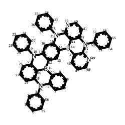 c1ccc(N2c3ccccc3B3c4cc5c(cc4N(c4ccccc4)c4cccc2c43)N(c2ccccc2)c2nccc3c2B5c2cccnc2N3c2ccccc2)cc1